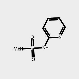 CNS(=O)(=O)Nc1ccccn1